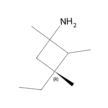 CC[C@]1(C)CC(C)(N)C1C